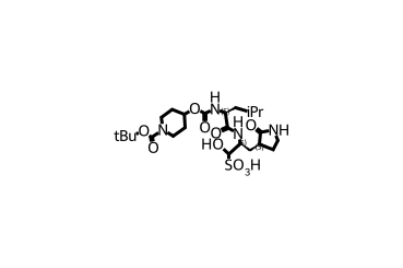 CC(C)C[C@H](NC(=O)OC1CCN(C(=O)OC(C)(C)C)CC1)C(=O)N[C@@H](C[C@@H]1CCNC1=O)C(O)S(=O)(=O)O